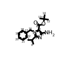 CC(C)c1nc(N)c(C(=O)OC(C)(C)C)n1Cc1ccccc1